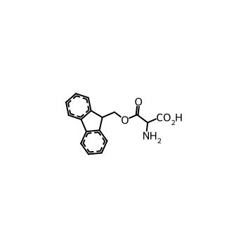 NC(C(=O)O)C(=O)OCC1c2ccccc2-c2ccccc21